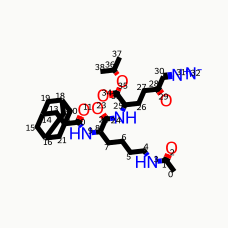 CC(=O)NCCCCC(NC(=O)C12CC3CC(CC(C3)C1)C2)C(=O)NC(CCC(=O)C=[N+]=[N-])C(=O)OC(C)C